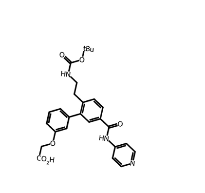 CC(C)(C)OC(=O)NCCc1ccc(C(=O)Nc2ccncc2)cc1-c1cccc(OCC(=O)O)c1